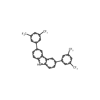 FC(F)(F)c1cc(-c2ccc3[nH]c4ccc(-c5cc(C(F)(F)F)cc(C(F)(F)F)c5)cc4c3c2)cc(C(F)(F)F)c1